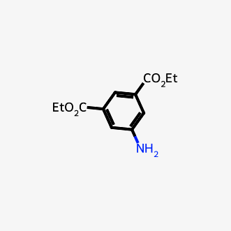 CCOC(=O)c1cc(N)cc(C(=O)OCC)c1